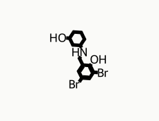 Oc1c(Br)cc(Br)cc1CNC1CCCC(O)C1